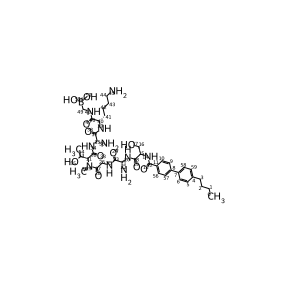 CCCCc1ccc(-c2ccc(C(=O)N[C@H](CO)C(=O)N[C@H](N)C(=O)NCC(=O)N(C)[C@H](C(=O)N[C@@H](N)C(=O)N[C@@H](CCCCN)C(=O)NCB(O)O)C(C)O)cc2)cc1